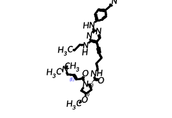 CCCNc1nc(Nc2ccc(C#N)cc2)ncc1C#CCCCNC(=O)[C@@H]1C[C@H](OC)CN1C(=O)/C=C/CN(C)C